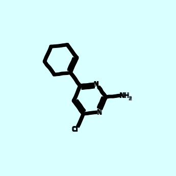 Nc1nc(Cl)cc(C2=CCCCC2)n1